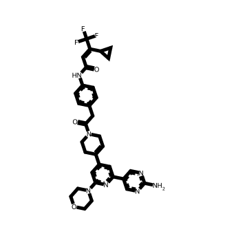 Nc1ncc(-c2cc(C3=CCN(C(=O)Cc4ccc(NC(=O)/C=C(\C5CC5)C(F)(F)F)cc4)CC3)cc(N3CCOCC3)n2)cn1